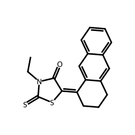 CCN1C(=O)/C(=C2/CCCc3cc4ccccc4cc32)SC1=S